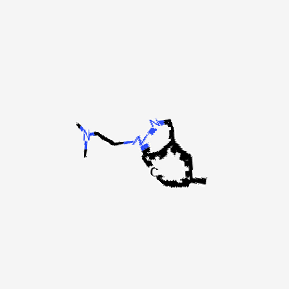 Cc1ccc2c(cnn2CCN(C)C)c1